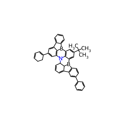 CC(C)(C)c1cc2c3c(c1)B1c4ccc(-c5ccccc5)cc4C4=CC=CC(C14)N3c1cc(C3=CC=CCC3)cc3c1B2c1ccccc1-3